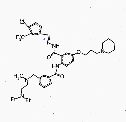 CCN(CC)CCN(C)Cc1cccc(C(=O)Nc2ccc(OCCCN3CCCCC3)cc2C(=O)N/N=C/c2ccc(Cl)c(C(F)(F)F)c2)c1